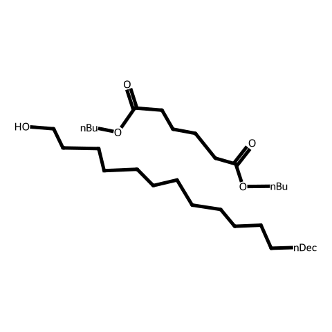 CCCCCCCCCCCCCCCCCCCCCCO.CCCCOC(=O)CCCCC(=O)OCCCC